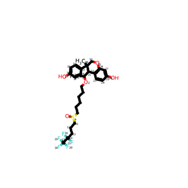 CC(OCCCCCC[S+]([O-])CCCC(F)(F)C(F)(F)F)C1c2ccc(O)cc2OCC1(C)c1ccc(O)cc1